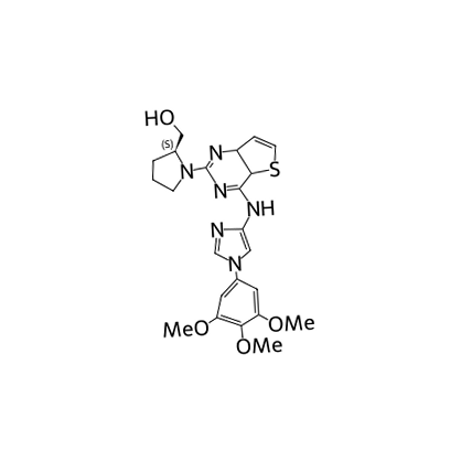 COc1cc(-n2cnc(NC3=NC(N4CCC[C@H]4CO)=NC4C=CSC34)c2)cc(OC)c1OC